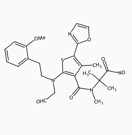 COc1ccccc1CCN(CC=O)c1sc(-c2ncco2)c(C)c1C(=O)N(C)C(C)(C)C(=O)N=O